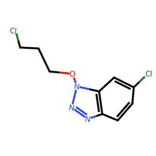 ClCCCOn1nnc2ccc(Cl)cc21